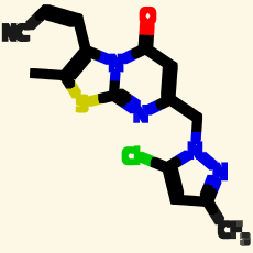 Cc1sc2nc(Cn3nc(C(F)(F)F)cc3Cl)cc(=O)n2c1/C=C\C#N